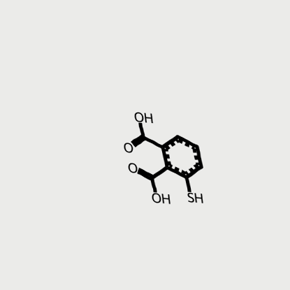 O=C(O)c1cccc(S)c1C(=O)O